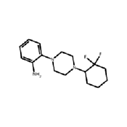 Nc1ccccc1N1CCN(C2CCCCC2(F)F)CC1